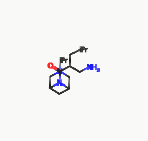 CC(C)CC(CN)C(=O)N1C2CC1CN(C(C)C)C2